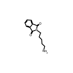 NCCCC[CH]N1C(=O)c2ccccc2C1=O